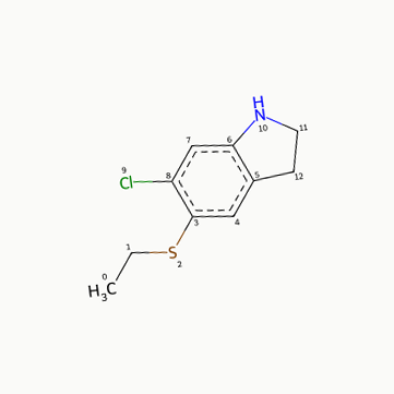 CCSc1cc2c(cc1Cl)NCC2